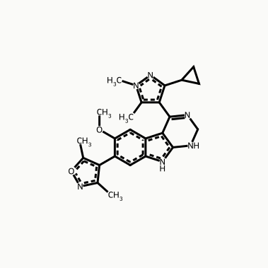 COc1cc2c3c([nH]c2cc1-c1c(C)noc1C)NCN=C3c1c(C2CC2)nn(C)c1C